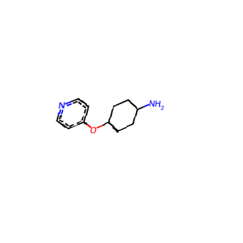 NC1CCC(Oc2ccncc2)CC1